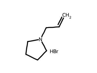 Br.C=CCN1CCCC1